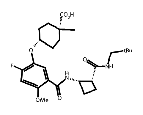 COc1cc(F)c(O[C@H]2CC[C@@](C)(C(=O)O)CC2)cc1C(=O)N[C@H]1CC[C@H]1C(=O)NCC(C)(C)C